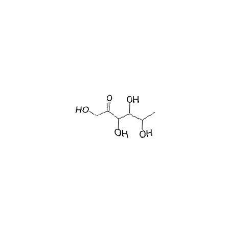 CC(O)C(O)C(O)C(=O)CO